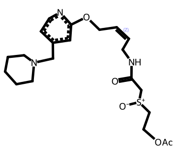 CC(=O)OCC[S+]([O-])CC(=O)NC/C=C\COc1cc(CN2CCCCC2)ccn1